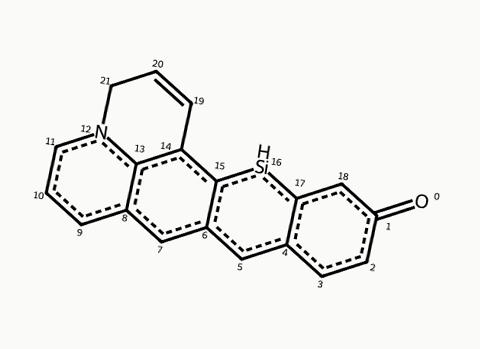 O=c1ccc2cc3cc4cccn5c4c(c3[siH]c2c1)C=CC5